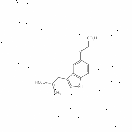 C[C@@H](Cc1c[nH]c2ccc(OCC(=O)O)cc12)C(=O)O